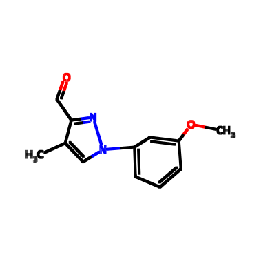 COc1cccc(-n2cc(C)c(C=O)n2)c1